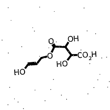 O=C(O)C(O)C(O)C(=O)OCC=CO